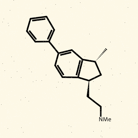 CNCC[C@@H]1C[C@@H](C)c2cc(-c3ccccc3)ccc21